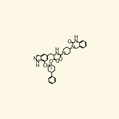 Cc1cc(CC(NC(=O)N2CCC(N3Cc4ccccc4NC3=O)CC2)C(=O)OC2CCC(c3ccccc3)CC2)cc2cn[nH]c12